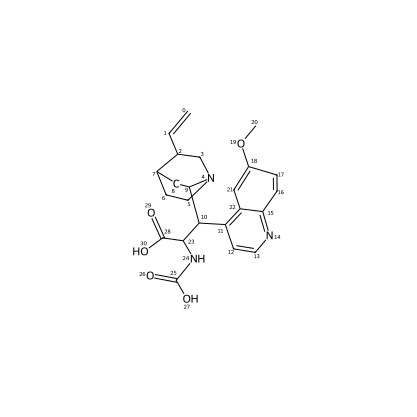 C=CC1CN2CCC1CC2C(c1ccnc2ccc(OC)cc12)C(NC(=O)O)C(=O)O